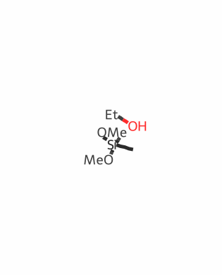 CCO.CO[Si](C)(C)OC